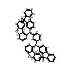 CC1(C)c2ccccc2-c2ccc(N(c3cccc(N(c4ccc5c(c4)C(C)(C)c4ccccc4-5)c4cccc5oc6ccccc6c45)c3)c3cccc4oc5ccccc5c34)cc21